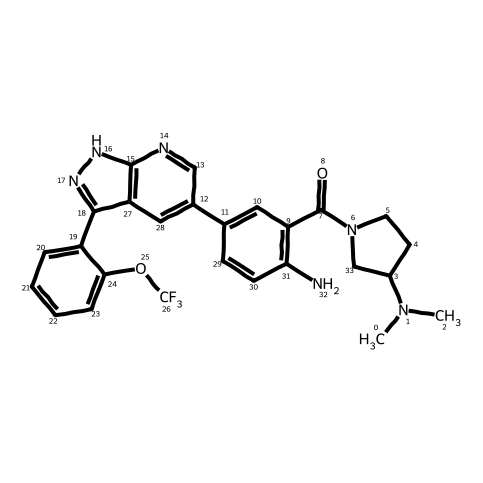 CN(C)C1CCN(C(=O)c2cc(-c3cnc4[nH]nc(-c5ccccc5OC(F)(F)F)c4c3)ccc2N)C1